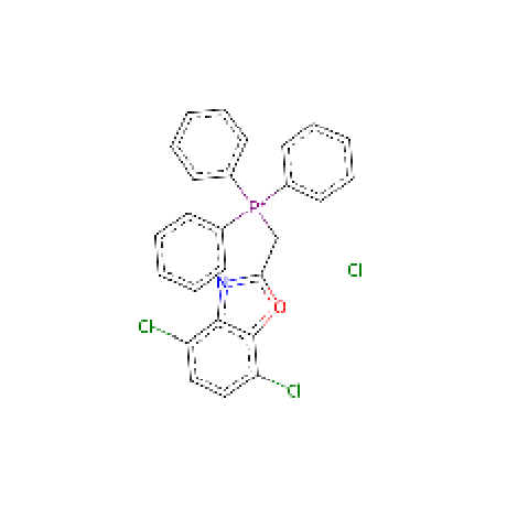 Clc1ccc(Cl)c2oc(C[P+](c3ccccc3)(c3ccccc3)c3ccccc3)nc12.[Cl-]